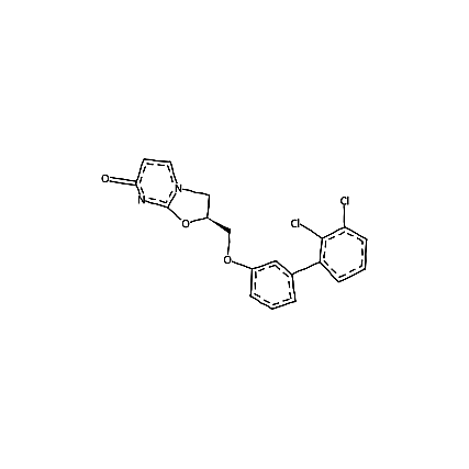 O=c1ccn2c(n1)O[C@H](COc1cccc(-c3cccc(Cl)c3Cl)c1)C2